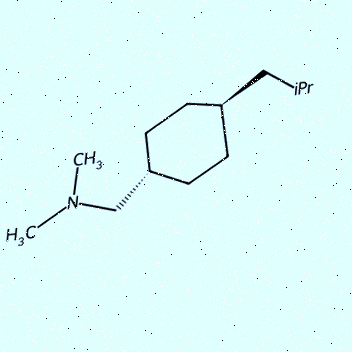 CC(C)C[C@H]1CC[C@H](CN(C)C)CC1